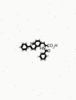 O=C(NC(Cc1ccc2nc(-c3ccccc3)ccc2c1)C(=O)O)c1ccccc1